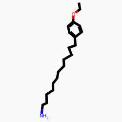 CCOc1ccc(CCCCCCCCCCCCN)cc1